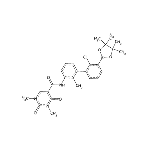 Cc1c(NC(=O)c2cn(C)c(=O)n(C)c2=O)cccc1-c1cccc(B2OC(C)(C)C(C)(C)O2)c1Cl